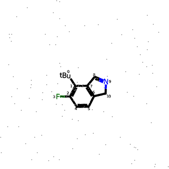 CC(C)(C)c1c(F)ccc2c1C=NC2